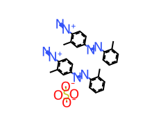 Cc1ccccc1N=Nc1ccc([N+]#N)c(C)c1.Cc1ccccc1N=Nc1ccc([N+]#N)c(C)c1.O=S(=O)([O-])[O-]